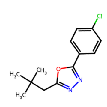 CC(C)(C)Cc1nnc(-c2ccc(Cl)cc2)o1